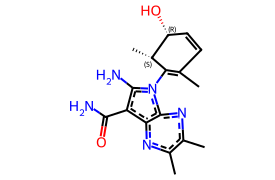 CC1=C(n2c(N)c(C(N)=O)c3nc(C)c(C)nc32)[C@H](C)[C@H](O)C=C1